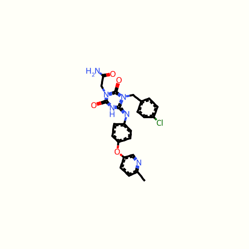 Cc1ccc(Oc2ccc(/N=c3\[nH]c(=O)n(CC(N)=O)c(=O)n3Cc3ccc(Cl)cc3)cc2)cn1